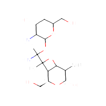 CC(=O)NC1C2OC(C)(C(C)(N)OC3OC(CO)C[C@@H](O)C3N)C2[C@H](CO)O[C@H]1O